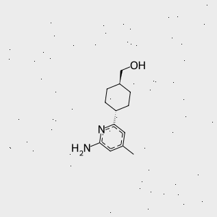 Cc1cc(N)nc([C@H]2CC[C@H](CO)CC2)c1